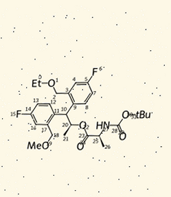 CCOCc1cc(F)ccc1C(c1ccc(F)cc1COC)[C@H](C)OC(=O)[C@H](C)NC(=O)OC(C)(C)C